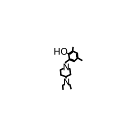 CCN(CC)C1CCN(Cc2cc(C)cc(C)c2O)CC1